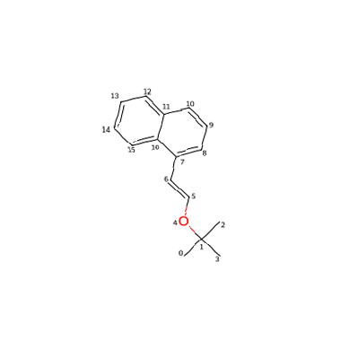 CC(C)(C)OC=Cc1cccc2ccccc12